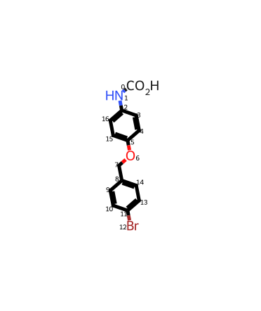 O=C(O)Nc1ccc(OCc2ccc(Br)cc2)cc1